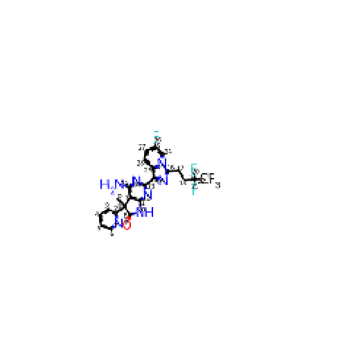 CC1(c2ccccn2)C(=O)Nc2nc(-c3nc(CCC(F)(F)C(F)(F)F)n4cc(F)ccc34)nc(N)c21